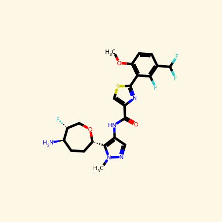 COc1ccc(C(F)F)c(F)c1-c1nc(C(=O)Nc2cnn(C)c2[C@@H]2CC[C@@H](N)[C@H](F)CO2)cs1